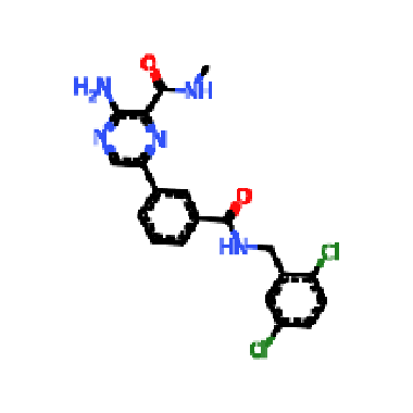 CNC(=O)c1nc(-c2cccc(C(=O)NCc3cc(Cl)ccc3Cl)c2)cnc1N